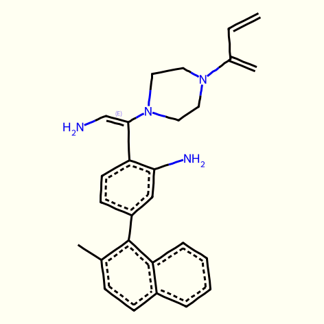 C=CC(=C)N1CCN(/C(=C/N)c2ccc(-c3c(C)ccc4ccccc34)cc2N)CC1